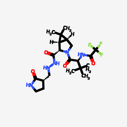 CC(C)(C)[C@H](NC(=O)C(F)(F)F)C(=O)N1C[C@H]2[C@@H]([C@H]1C(=O)NNC[C@@H]1CCNC1=O)C2(C)C